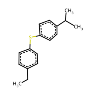 CCc1ccc(Sc2ccc(C(C)C)cc2)cc1